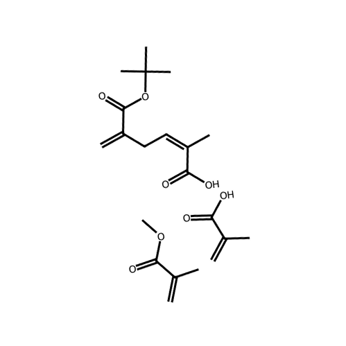 C=C(C)C(=O)O.C=C(C)C(=O)OC.C=C(CC=C(C)C(=O)O)C(=O)OC(C)(C)C